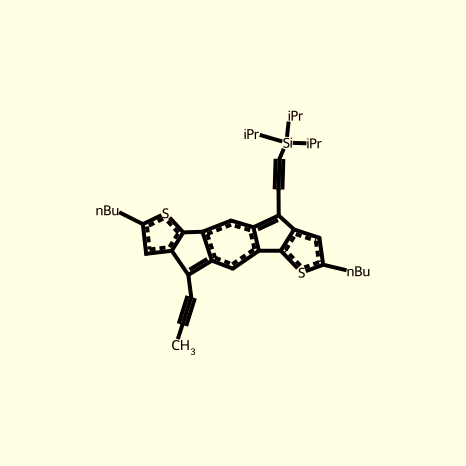 CC#CC1=c2cc3c(cc2-c2sc(CCCC)cc21)=C(C#C[Si](C(C)C)(C(C)C)C(C)C)c1cc(CCCC)sc1-3